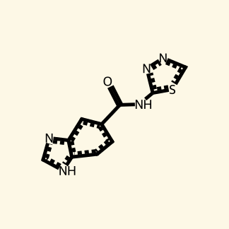 O=C(Nc1nncs1)c1ccc2[nH]cnc2c1